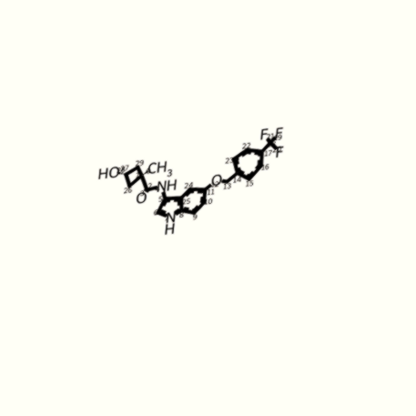 C[C@]1(C(=O)Nc2c[nH]c3ccc(OCc4ccc(C(F)(F)F)cc4)cc23)C[C@H](O)C1